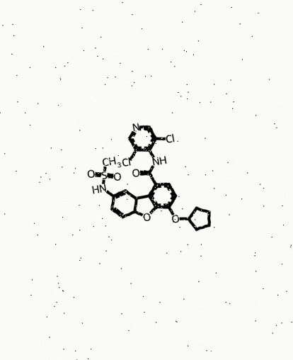 CS(=O)(=O)NC1=CC2c3c(C(=O)Nc4c(Cl)cncc4Cl)ccc(OC4CCCC4)c3OC2C=C1